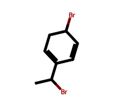 CC(Br)C1=CCC(Br)C=C1